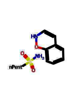 C1=Cc2ccccc2ON1.CCCCCS(N)(=O)=O